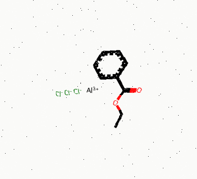 CCOC(=O)c1ccccc1.[Al+3].[Cl-].[Cl-].[Cl-]